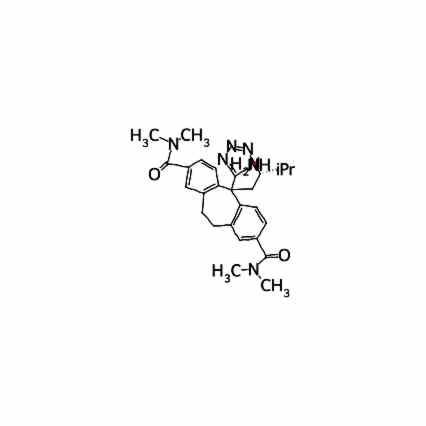 CC(C)[C@@H](N)CC1(c2nnn[nH]2)c2ccc(C(=O)N(C)C)cc2CCc2cc(C(=O)N(C)C)ccc21